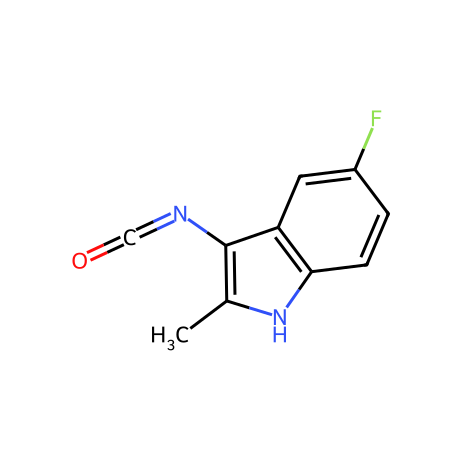 Cc1[nH]c2ccc(F)cc2c1N=C=O